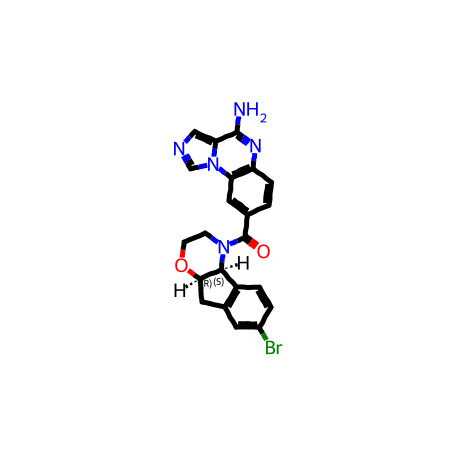 Nc1nc2ccc(C(=O)N3CCO[C@@H]4Cc5cc(Br)ccc5[C@@H]43)cc2n2cncc12